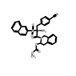 COC(=O)OC1Cc2ccccc2CN1C(=O)[C@@](N)(Cc1ccc(C#N)cc1)S(=O)(=O)c1ccc2ccccc2c1